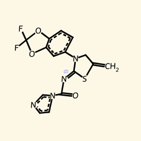 C=C1CN(c2ccc3c(c2)OC(F)(F)O3)/C(=N/C(=O)n2ccnc2)S1